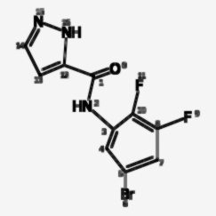 O=C(Nc1cc(Br)cc(F)c1F)c1ccn[nH]1